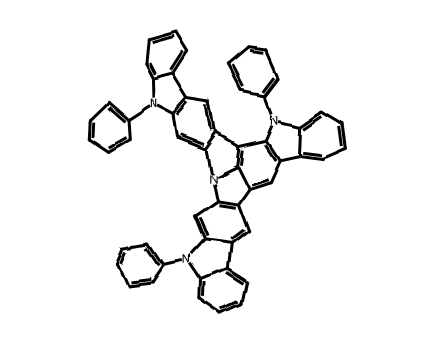 c1ccc(-n2c3ccccc3c3cc4c5cc6c7ccccc7n(-c7ccccc7)c6c6c7cc8c9ccccc9n(-c9ccccc9)c8cc7n(c4cc32)c56)cc1